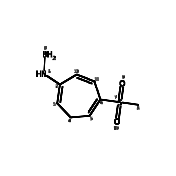 BNC1=CCC=C(S(C)(=O)=O)C=C1